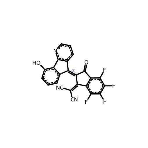 N#CC(C#N)=C1/C(=C2/c3cccnc3-c3c(O)cccc32)C(=O)c2c(F)c(F)c(F)c(F)c21